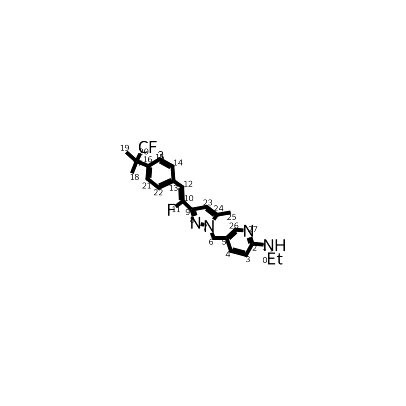 CCNc1ccc(Cn2nc(C(F)=Cc3ccc(C(C)(C)C(F)(F)F)cc3)cc2C)cn1